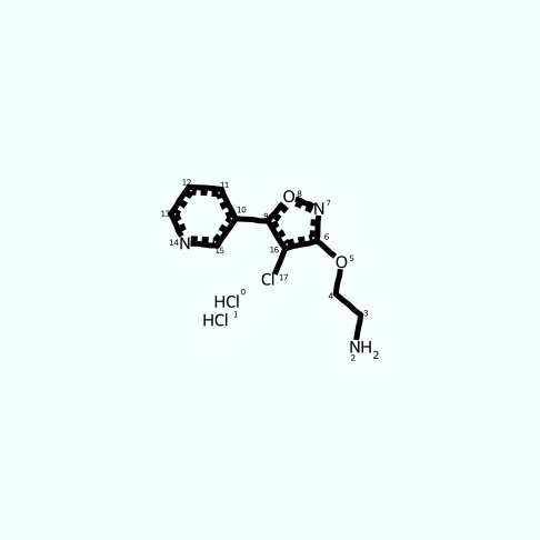 Cl.Cl.NCCOc1noc(-c2cccnc2)c1Cl